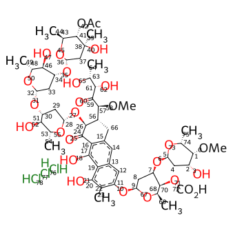 CO[C@@H]1[C@H](O)C[C@@H](O[C@@H]2C[C@H](Oc3cc4cc5c(c(O)c4c(O)c3C)C(=O)[C@@H](O[C@H]3C[C@@H](O[C@H]4C[C@@H](O[C@H]6C[C@](C)(O)[C@@H](OC(C)=O)[C@H](C)O6)[C@H](O)[C@@H](C)O4)[C@H](O)[C@@H](C)O3)[C@H]([C@H](OC)C(=O)[C@@H](O)[C@@H](C)O)C5)O[C@H](C)[C@@H]2OC(=O)O)O[C@@H]1C.Cl.Cl.Cl